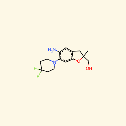 CC1(CO)Cc2cc(N)c(N3CCC(F)(F)CC3)cc2O1